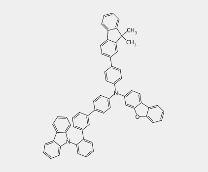 CC1(C)c2ccccc2-c2ccc(-c3ccc(N(c4ccc(-c5cccc(-c6ccccc6-n6c7ccccc7c7ccccc76)c5)cc4)c4ccc5c(c4)oc4ccccc45)cc3)cc21